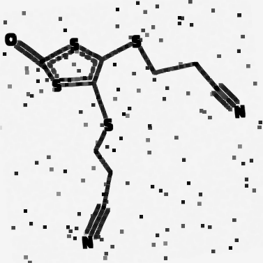 N#CCCSc1sc(=O)sc1SCCC#N